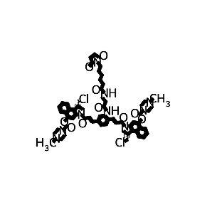 CN1CCN(C(=O)Oc2cc3c(c4ccccc24)[C@H](CCl)CN3C(=O)C=Cc2ccc(C=CC(=O)N3C[C@@H](CCl)c4c3cc(OC(=O)N3CCN(C)CC3)c3ccccc43)c(NC(=O)CCNC(=O)CCCCCN3C(=O)C=CC3=O)c2)CC1